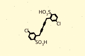 O=S(=O)(O)c1ccc(Cl)cc1CC#CC#CCc1cc(Cl)ccc1S(=O)(=O)O